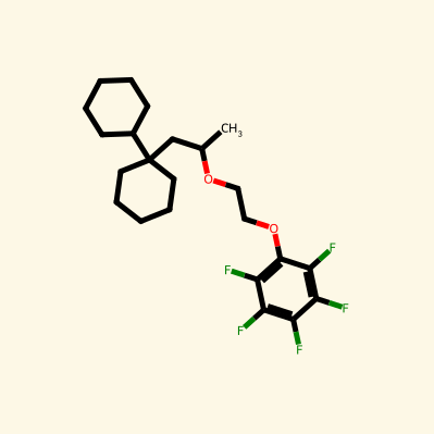 CC(CC1(C2CCCCC2)CCCCC1)OCCOc1c(F)c(F)c(F)c(F)c1F